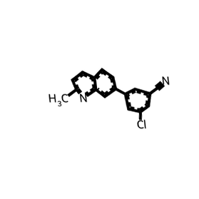 Cc1ccc2ccc(-c3cc(Cl)cc(C#N)c3)cc2n1